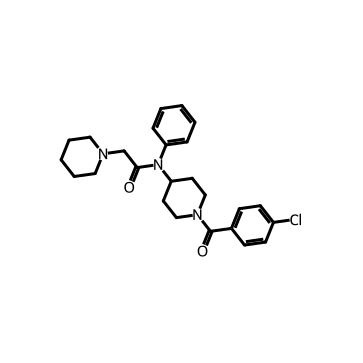 O=C(c1ccc(Cl)cc1)N1CCC(N(C(=O)CN2CCCCC2)c2ccccc2)CC1